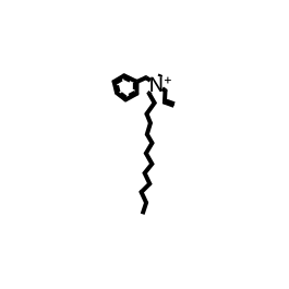 C=CC[N+](C)(CCCCCCCCCCCCC)Cc1ccccc1